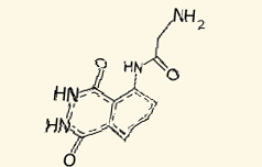 NCC(=O)Nc1cccc2c(=O)[nH][nH]c(=O)c12